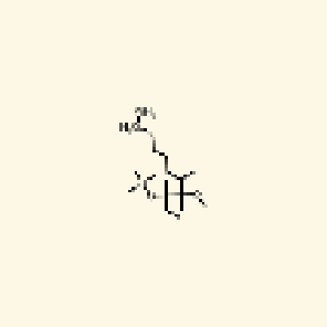 CCC(C)(O[Si](C)(C)C)C(C)(OC)[C](C)CCCO[SiH2][SiH3]